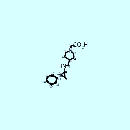 O=C(O)CN1CCC(CN[C@H]2C[C@@H]2c2ccccc2)CC1